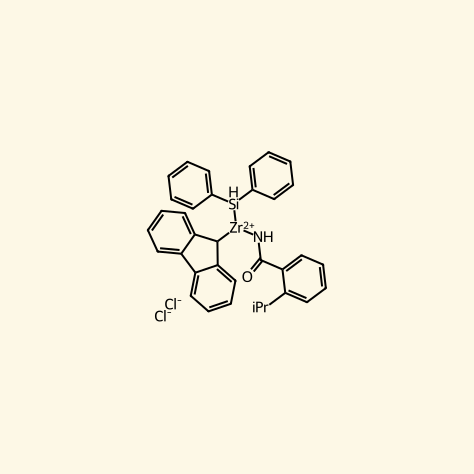 CC(C)c1ccccc1C(=O)[NH][Zr+2]([CH]1c2ccccc2-c2ccccc21)[SiH](c1ccccc1)c1ccccc1.[Cl-].[Cl-]